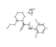 CCCN1CCCC[C@H]1C(=O)ONc1c(C)cccc1C.Cl.O